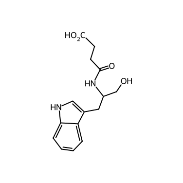 O=C(O)CCC(=O)NC(CO)Cc1c[nH]c2ccccc12